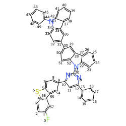 Fc1ccc2sc3ccc(-c4cc(-c5ccccc5)nc(-n5c6ccccc6c6cc(-c7ccc8c(c7)c7ccccc7n8-c7ccccc7)ccc65)n4)cc3c2c1